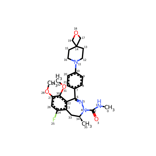 CNC(=O)N1N=C(c2ccc(N3CCC4(CC3)COC4)cc2)c2c(c(F)cc(OC)c2OC)C[C@@H]1C